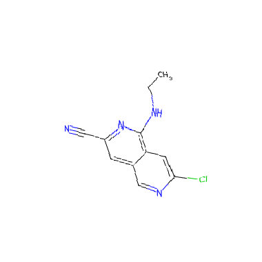 CCNc1nc(C#N)cc2cnc(Cl)cc12